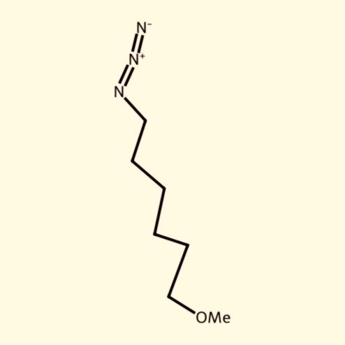 COCCCCCCN=[N+]=[N-]